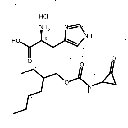 CCCCC(CC)COC(=O)NC1CC1=O.Cl.N[C@@H](Cc1c[nH]cn1)C(=O)O